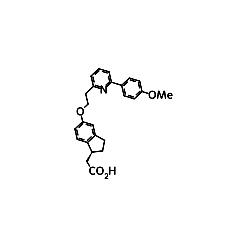 COc1ccc(-c2cccc(CCOc3ccc4c(c3)CC[C@H]4CC(=O)O)n2)cc1